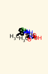 CCc1ccc(-n2c(Br)nnc2SC(C)(C)C(=O)NCC(=O)O)c2ccccc12